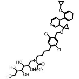 CNC(=O)N(CCCCc1cc(Cl)c(COC2(c3cnccc3-c3ccccc3OC3CC3)CC2)cc1Cl)CC(O)C(O)C(O)C(O)CO